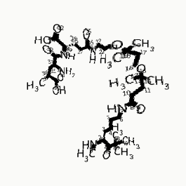 CN[C@@H](CCCCNC(=O)CCC(C)(C)OCCC(C)(C)OCCNC(=O)CC[C@H](NC(=O)C(N)CC(C)C(=O)O)C(=O)O)C(=O)C(C)(C)C